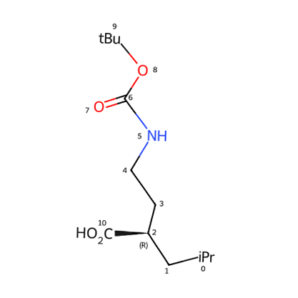 CC(C)C[C@H](CCNC(=O)OC(C)(C)C)C(=O)O